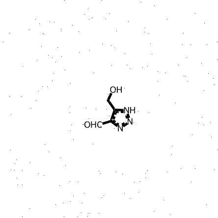 O=[C]c1nn[nH]c1CO